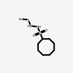 CC(=O)SBNS(=O)(=O)C1CCCCCCC1